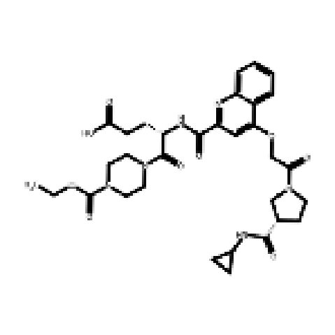 CCOC(=O)N1CCN(C(=O)[C@H](CCC(=O)O)NC(=O)c2cc(OCC(=O)N3CC[C@H](C(=O)NC4CC4)C3)c3ccccc3n2)CC1